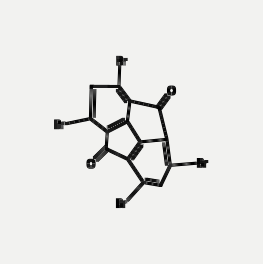 O=c1c2c(Br)cc(Br)c3c2-c2c1c(Br)cc(Br)c2c3=O